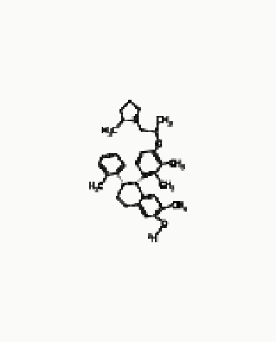 [2H]Oc1cc2c(cc1C)[C@@H](c1ccc(OC(C)CN3CCCC3C)c(C)c1C)[C@@H](c1ccccc1C)CC2